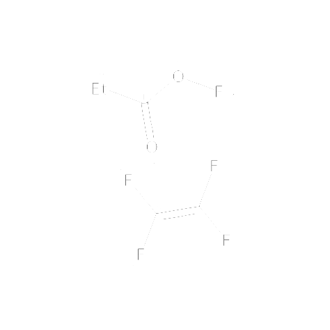 CCC(=O)OF.FC(F)=C(F)F